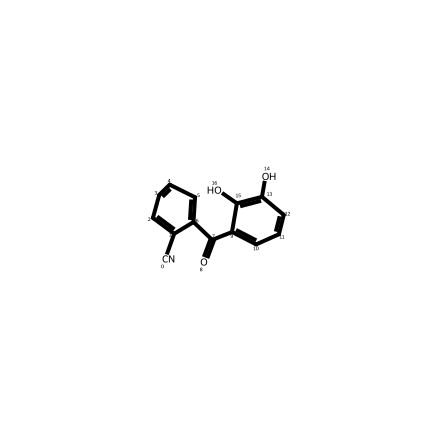 N#Cc1ccccc1C(=O)c1cccc(O)c1O